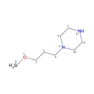 [SiH3]OCCCN1CCNCC1